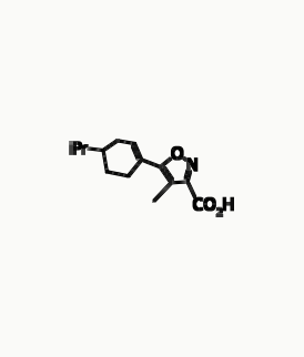 Cc1c(C(=O)O)noc1C1=CCC(C(C)C)CC1